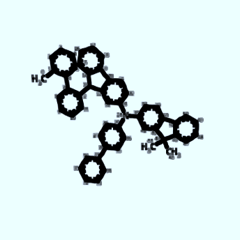 Cc1ccccc1-c1ccccc1C1c2ccccc2-c2ccc(N(c3ccc(-c4ccccc4)cc3)c3ccc4c(c3)C(C)(C)c3ccccc3-4)cc21